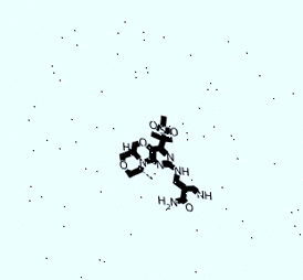 C[C@@H]1COC[C@H]2COc3c(nc(N/C=C(\C=N)C(N)=O)nc3C(C)(C)S(C)(=O)=O)N21